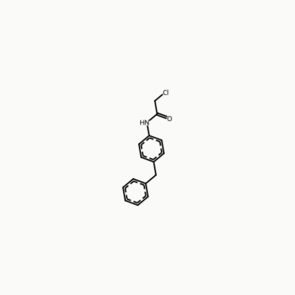 O=C(CCl)Nc1ccc(Cc2ccccc2)cc1